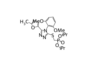 COc1cccc(OC)c1-n1c(SCP(=O)(OC(C)C)OC(C)C)nnc1-c1ccc(C)o1